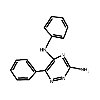 Nc1nnc(-c2ccccc2)c(Nc2ccccc2)n1